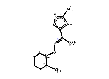 C[C@H]1CCCC[C@H]1O/N=C(\C(=O)O)c1csc(N)n1